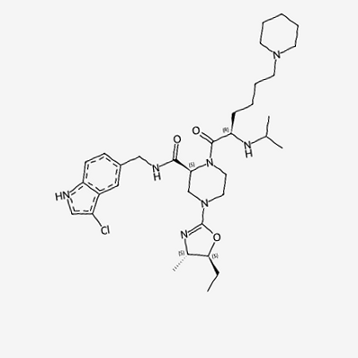 CC[C@@H]1OC(N2CCN(C(=O)[C@@H](CCCCN3CCCCC3)NC(C)C)[C@H](C(=O)NCc3ccc4[nH]cc(Cl)c4c3)C2)=N[C@H]1C